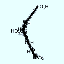 CN[C@@H](CCCCNC(=O)COCCOCCNC(=O)COCCOCCNC(=O)CC[C@H](NC(=O)[C@H]1CC[C@H](CNC(=O)CCCCCCCCCCCCCCCCCCC(=O)O)CC1)C(=O)O)C(N)=O